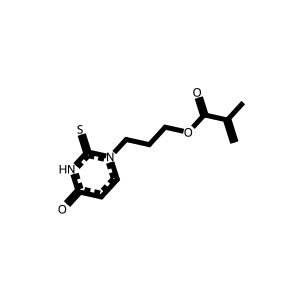 C=C(C)C(=O)OCCCn1ccc(=O)[nH]c1=S